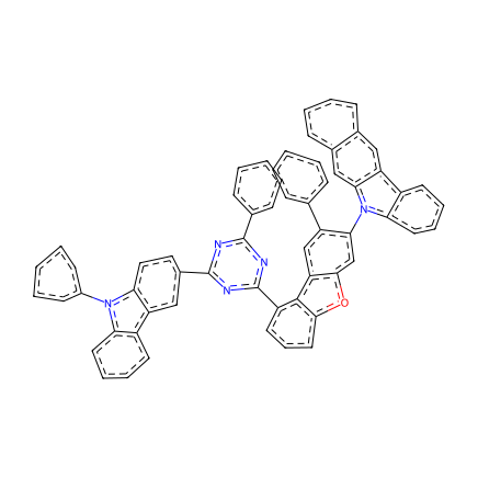 c1ccc(-c2nc(-c3ccc4c(c3)c3ccccc3n4-c3ccccc3)nc(-c3cccc4oc5cc(-n6c7ccccc7c7cc8ccccc8cc76)c(-c6ccccc6)cc5c34)n2)cc1